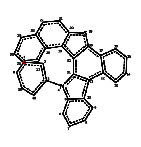 c1ccc(-n2c3ccccc3c3c4ccccc4c4sc5ccc6ccccc6c5c4c32)cc1